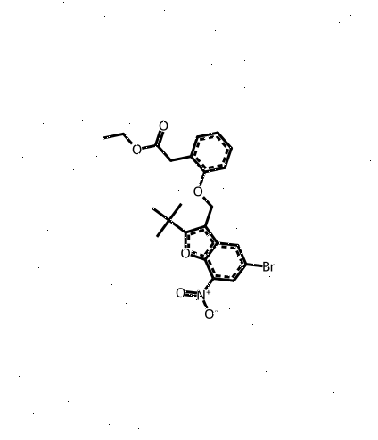 CCOC(=O)Cc1ccccc1OCc1c(C(C)(C)C)oc2c([N+](=O)[O-])cc(Br)cc12